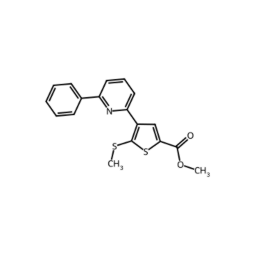 COC(=O)c1cc(-c2cccc(-c3ccccc3)n2)c(SC)s1